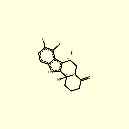 O=C1CCC[C@@H]2c3[nH]c4ccc(F)c(F)c4c3[C@H](F)CN12